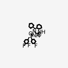 O=C1Nc2ccccc2C(c2ccccc2)=NC1NC(=O)[C@H](Cc1ccc(F)c(F)c1)c1ccc(F)cc1